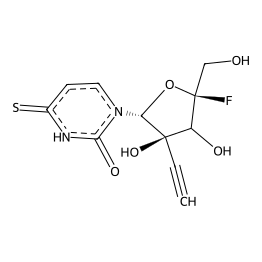 C#C[C@@]1(O)C(O)[C@@](F)(CO)O[C@H]1n1ccc(=S)[nH]c1=O